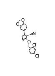 N#Cc1c(-c2ccc3c(c2)OCO3)csc1OCc1ccc(Cl)cc1Cl